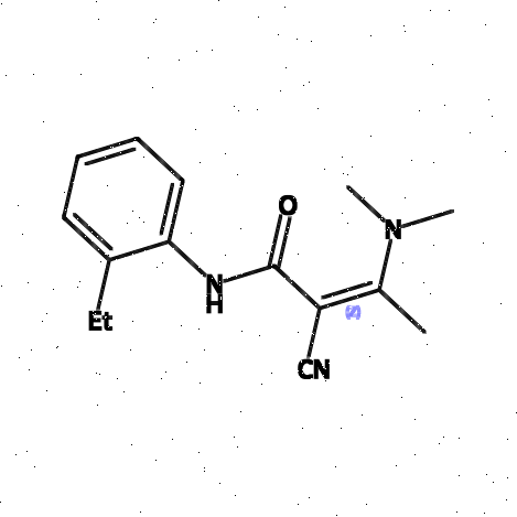 CCc1ccccc1NC(=O)/C(C#N)=C(/C)N(C)C